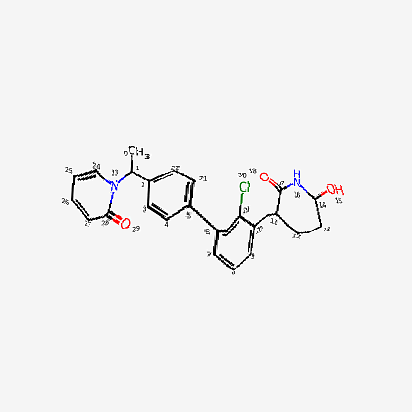 CC(c1ccc(-c2cccc(C3CCC(O)NC3=O)c2Cl)cc1)n1ccccc1=O